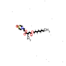 C=C(CC(=O)OCCCCCCCC)C(=O)OCCN1CC[S+]([O-])CC1